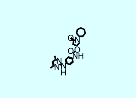 Cc1cc(C)nc(Nc2ccc(NC(=O)OC3CC(=O)N(C4CCCCCC4)C3)cc2)n1